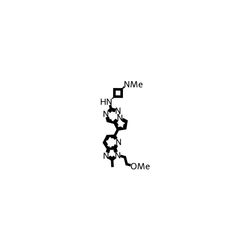 CN[C@H]1C[C@H](Nc2ncc3c(-c4ccc5nc(C)n(CCOC)c5n4)ccn3n2)C1